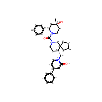 C[C@@]1(O)CCN(C(=O)N2CC[C@@H](Cn3ccc(-c4ccccc4)cc3=O)C3(CCCC3)C2)[C@H](c2ccccc2)C1